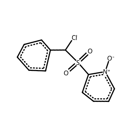 O=S(=O)(c1cccc[n+]1[O-])C(Cl)c1ccccc1